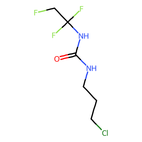 O=C(NCCCCl)NC(F)(F)CF